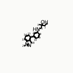 CCC(C)(O)CNc1cccc(-c2cccc3c2cnn3C)c1